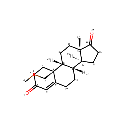 CSC[C@]12CCC(=O)C=C1CC[C@@H]1[C@H]2CC[C@]2(C)C(=O)CC[C@@H]12